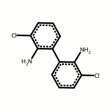 Nc1c(Cl)cccc1-c1cccc(Cl)c1N